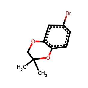 CC1(C)COc2cc(Br)ccc2O1